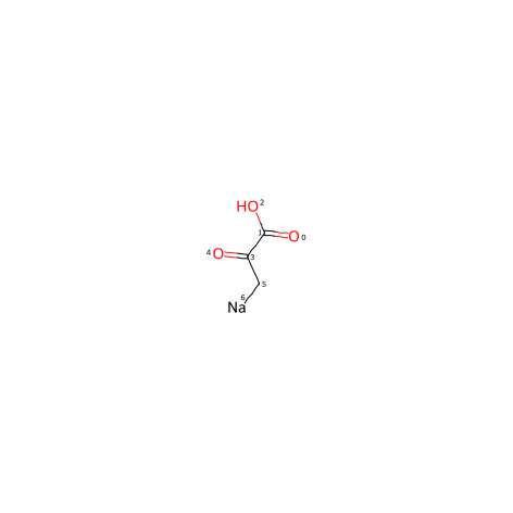 O=C(O)C(=O)[CH2][Na]